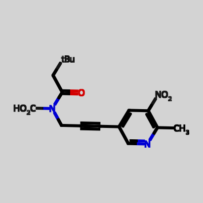 Cc1ncc(C#CCN(C(=O)O)C(=O)CC(C)(C)C)cc1[N+](=O)[O-]